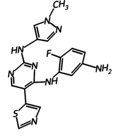 Cn1cc(Nc2ncc(-c3cncs3)c(Nc3cc(N)ccc3F)n2)cn1